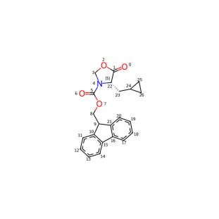 O=C1OCN(C(=O)OCC2c3ccccc3-c3ccccc32)[C@H]1CC1CC1